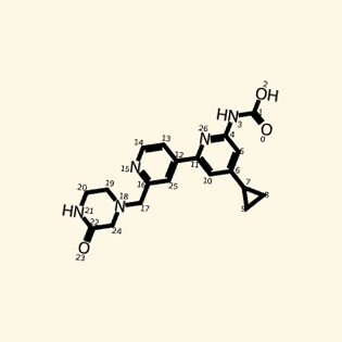 O=C(O)Nc1cc(C2CC2)cc(-c2ccnc(CN3CCNC(=O)C3)c2)n1